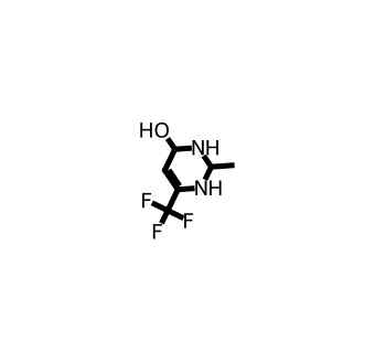 CC1NC(C(F)(F)F)=CC(O)N1